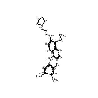 COc1c(OCCCN2CCCC2)ccc2c(Nc3cc(O)c(C)cc3F)ccnc12